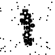 CS(=O)(=O)Nc1cccc(CNC(=O)c2nc3sc4c(c3c(=O)[nH]2)CCC4)c1